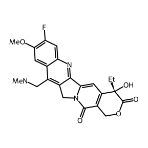 CC[C@@]1(O)C(=O)OCc2c1cc1n(c2=O)Cc2c-1nc1cc(F)c(OC)cc1c2CNC